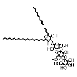 CCCCCCCCCCCCC/C=C/[C@@H](O)[C@H](CO[C@@H]1OC(CO)[C@@H](O[C@@H]2OC(CO)[C@H](O)[C@H](O[C@H]3OC(CO)[C@H](O)[C@H](O)C3O)C2O)[C@H](O)C1O)NC(=O)CCCCCCCCCCCCCCCCCCC